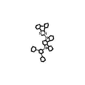 c1ccc(-c2cc(-c3ccccc3)cc(-n3c4ccccc4c4c5c6ccccc6n(-c6cnc7c8ccccc8c8ccccc8c7n6)c5ccc43)c2)cc1